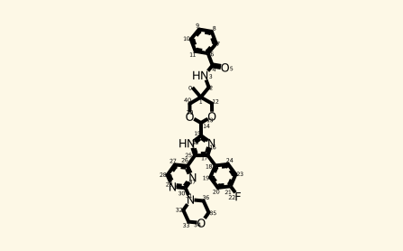 CC1(CNC(=O)c2ccccc2)COC(c2nc(-c3ccc(F)cc3)c(-c3ccnc(N4CCOCC4)n3)[nH]2)OC1